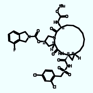 CC(C)(C)OC(=O)N[C@H]1CCCCCCC[C@@H]2C[C@@]2(C(=O)NS(=O)(=O)Cc2ccc(Cl)cc2Cl)NC(=O)[C@@H]2C[C@@H](OC(=O)N3Cc4cccc(F)c4C3)CN2C1=O